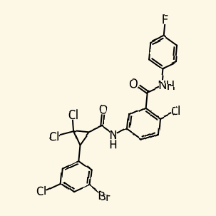 O=C(Nc1ccc(F)cc1)c1cc(NC(=O)C2C(c3cc(Cl)cc(Br)c3)C2(Cl)Cl)ccc1Cl